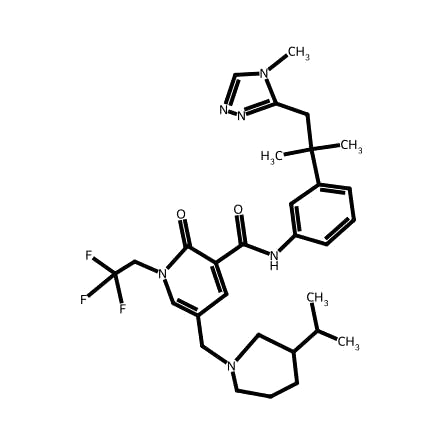 CC(C)C1CCCN(Cc2cc(C(=O)Nc3cccc(C(C)(C)Cc4nncn4C)c3)c(=O)n(CC(F)(F)F)c2)C1